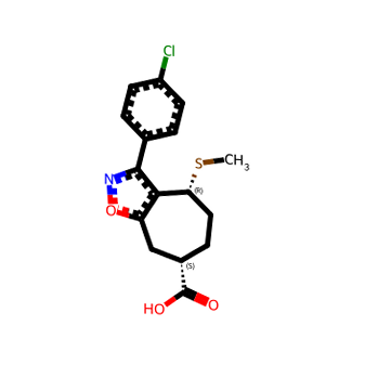 CS[C@@H]1CC[C@H](C(=O)O)Cc2onc(-c3ccc(Cl)cc3)c21